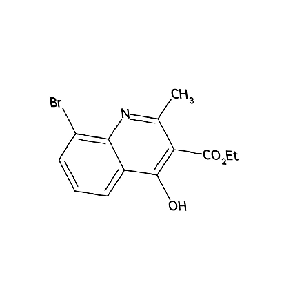 CCOC(=O)c1c(C)nc2c(Br)cccc2c1O